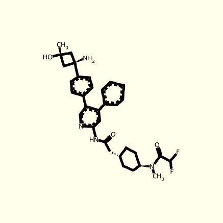 CN(C(=O)C(F)F)[C@H]1CC[C@H](CC(=O)Nc2cc(-c3ccccc3)c(-c3ccc([C@]4(N)C[C@](C)(O)C4)cc3)cn2)CC1